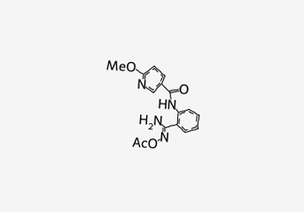 COc1ccc(C(=O)Nc2ccccc2/C(N)=N/OC(C)=O)cn1